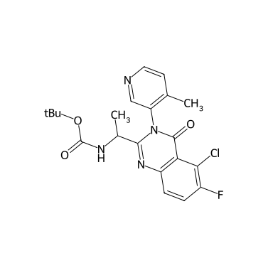 Cc1ccncc1-n1c(C(C)NC(=O)OC(C)(C)C)nc2ccc(F)c(Cl)c2c1=O